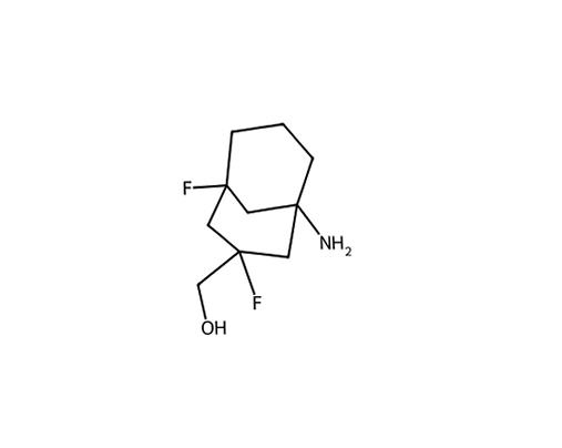 NC12CCCC(F)(C1)CC(F)(CO)C2